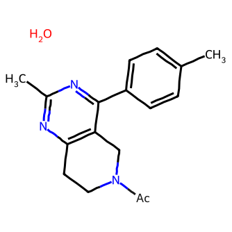 CC(=O)N1CCc2nc(C)nc(-c3ccc(C)cc3)c2C1.O